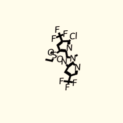 CCS(=O)(=O)c1cc(C(F)(F)F)c(Cl)nc1-c1nc2cc(C(F)(F)F)cnc2n1C